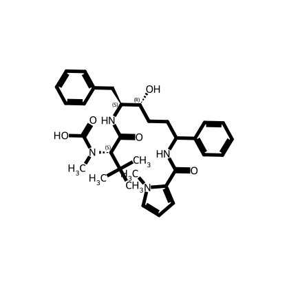 CN(C(=O)O)[C@H](C(=O)N[C@@H](Cc1ccccc1)[C@H](O)CCC(NC(=O)c1cccn1C)c1ccccc1)C(C)(C)C